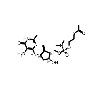 C=C1[C@@H](Nc2nc(C)[nH]c(=O)c2N)C[C@H](O)[C@H]1COP(=O)(OCCSC(C)=O)N(C)C